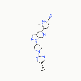 Cc1nc(C#N)ccc1-c1cc2cnn(C3CCN(c4ncc(C5CC5)cn4)CC3)c2cn1